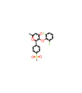 Cc1cc(=O)c(Oc2c(F)cccc2F)c(-c2ccc(S(C)(=O)=O)cc2)o1